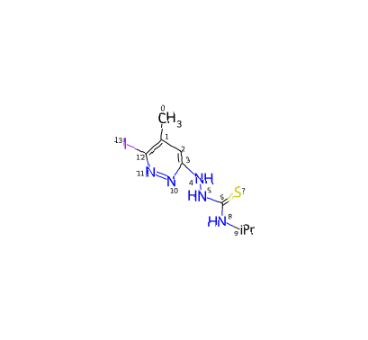 Cc1cc(NNC(=S)NC(C)C)nnc1I